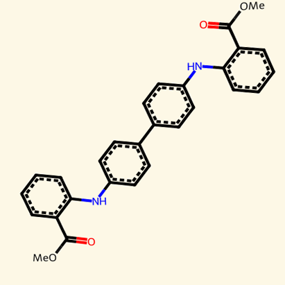 COC(=O)c1ccccc1Nc1ccc(-c2ccc(Nc3ccccc3C(=O)OC)cc2)cc1